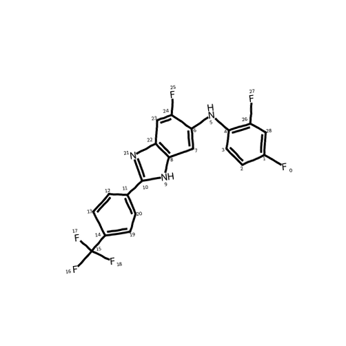 Fc1ccc(Nc2cc3[nH]c(-c4ccc(C(F)(F)F)cc4)nc3cc2F)c(F)c1